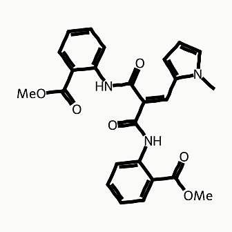 COC(=O)c1ccccc1NC(=O)C(=Cc1cccn1C)C(=O)Nc1ccccc1C(=O)OC